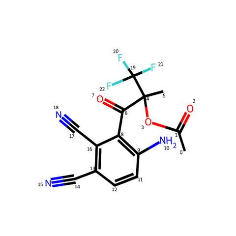 CC(=O)OC(C)(C(=O)c1c(N)ccc(C#N)c1C#N)C(F)(F)F